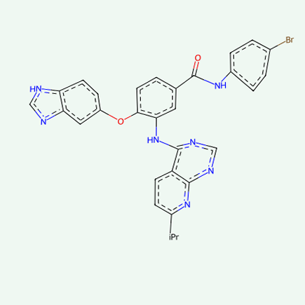 CC(C)c1ccc2c(Nc3cc(C(=O)Nc4ccc(Br)cc4)ccc3Oc3ccc4[nH]cnc4c3)ncnc2n1